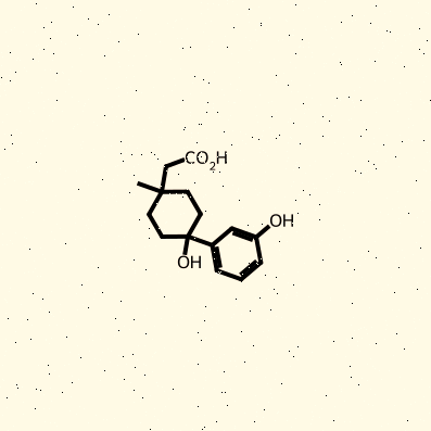 CC1(CC(=O)O)CCC(O)(c2cccc(O)c2)CC1